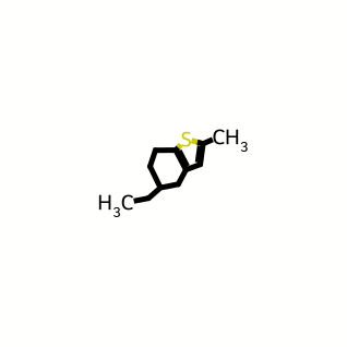 CCC1CCc2sc(C)cc2C1